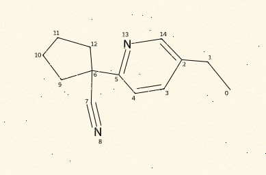 CCc1ccc(C2(C#N)CCCC2)nc1